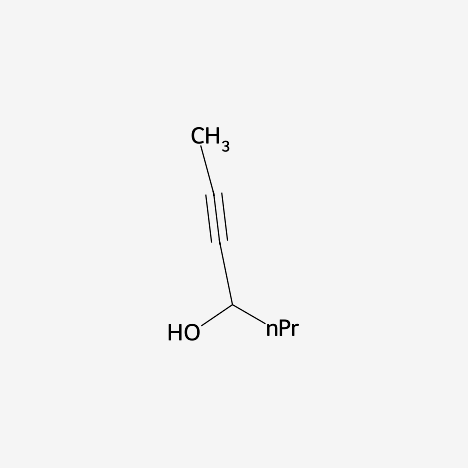 CC#CC(O)CCC